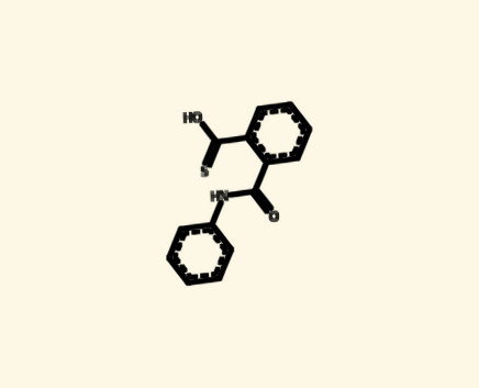 O=C(Nc1ccccc1)c1ccccc1C(O)=S